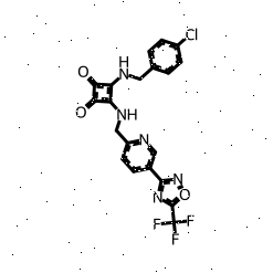 O=c1c(NCc2ccc(Cl)cc2)c(NCc2ccc(-c3noc(C(F)(F)F)n3)cn2)c1=O